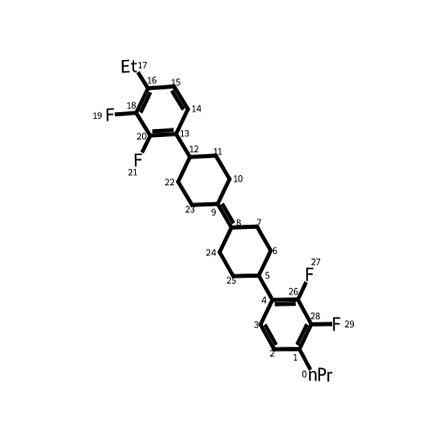 CCCc1ccc(C2CCC(=C3CCC(c4ccc(CC)c(F)c4F)CC3)CC2)c(F)c1F